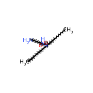 CCCCCCCCCCCCCCCCCCN(CCCCCCCCCCCCCCCCCC)C(=O)CNC(=O)CCCCCCCN